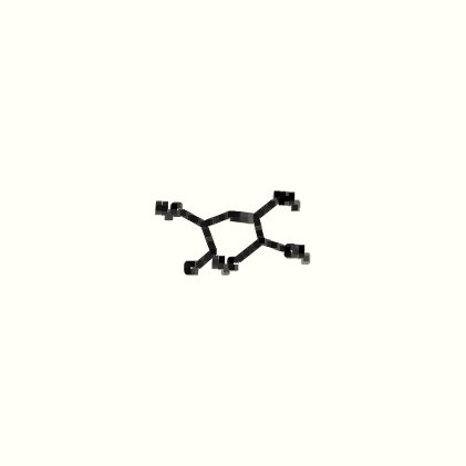 CC(/C=C(/N)C(C)C)CCl